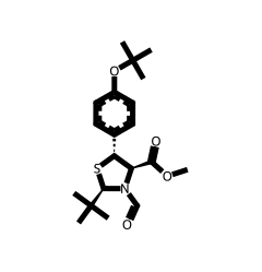 COC(=O)[C@@H]1[C@@H](c2ccc(OC(C)(C)C)cc2)S[C@H](C(C)(C)C)N1C=O